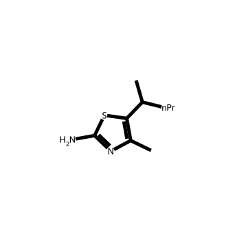 CCCC(C)c1sc(N)nc1C